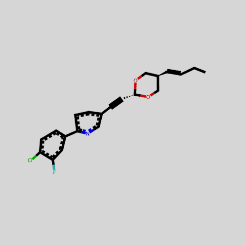 CCC=C[C@H]1CO[C@H](C#Cc2ccc(-c3ccc(Cl)c(F)c3)nc2)OC1